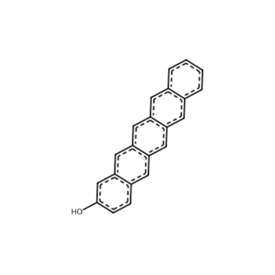 Oc1ccc2cc3cc4cc5ccccc5cc4cc3cc2c1